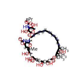 CCCOC(=O)NC1C(O)COC(OC2/C=C/C=C/C=C/C=C/C=C/C=C/C=C/C(C)C(O)C(C)C(C)OC(=O)CC(O)CC(O)CCC(O)C(O)CC(O)CC3(OC)CC4OC(=O)NC4C(C2)O3)C1O